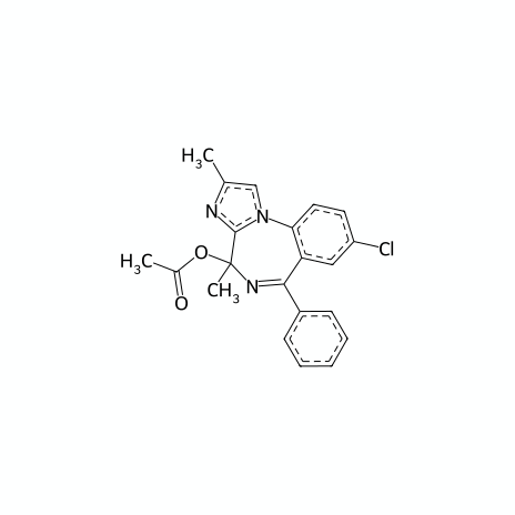 CC(=O)OC1(C)N=C(c2ccccc2)c2cc(Cl)ccc2-n2cc(C)nc21